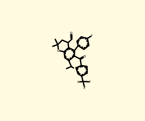 CC(C)c1cc2c(c(-c3ccc(F)cc3)c1C(=O)c1ccc(C(F)(F)F)cc1)C(C=O)CC(C)(C)O2